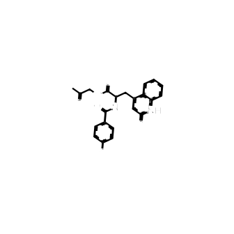 CC(=O)COC(=O)C(Cc1cc(=O)[nH]c2ccccc12)NC(=O)c1ccc(Cl)cc1